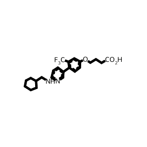 O=C(O)CCCOc1ccc(-c2ccc(NCC3CCCCC3)nc2)c(C(F)(F)F)c1